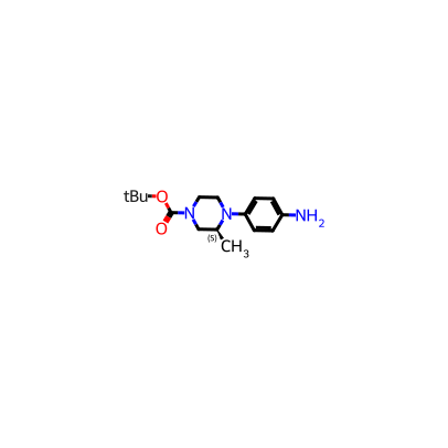 C[C@H]1CN(C(=O)OC(C)(C)C)CCN1c1ccc(N)cc1